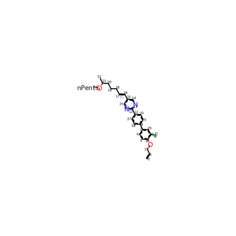 C=CCOc1ccc(-c2ccc(-c3ncc(/C=C/CCCC(C)OCCCCC)cn3)cc2)cc1F